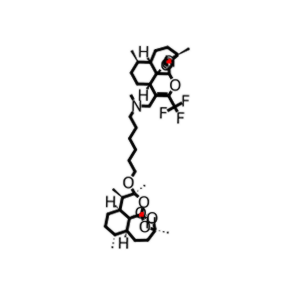 C[C@@H]1CC[C@H]2[C@@H](C)[C@@](C)(OCCCCCCN(C)CC3=C(C(F)(F)F)O[C@@H]4O[C@]5(C)CC[C@H]6[C@H](C)CC[C@@H]3[C@@]46OO5)O[C@@H]3O[C@]4(C)CC[C@@H]1[C@]32OO4